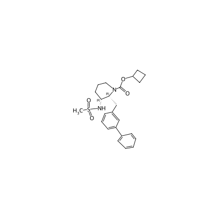 CS(=O)(=O)N[C@@H]1CCCN(C(=O)OC2CCC2)[C@@H]1Cc1cccc(-c2ccccc2)c1